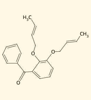 CC=CCOc1cccc(C(=O)c2ccccc2)c1OCC=CC